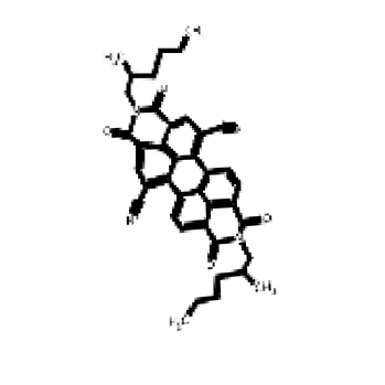 CCCCC(C)CN1C(=O)c2ccc3c4c(C#N)cc5c6c(cc(C#N)c(c7ccc(c2c37)C1=O)c64)C(=O)N(CC(C)CCCC)C5=O